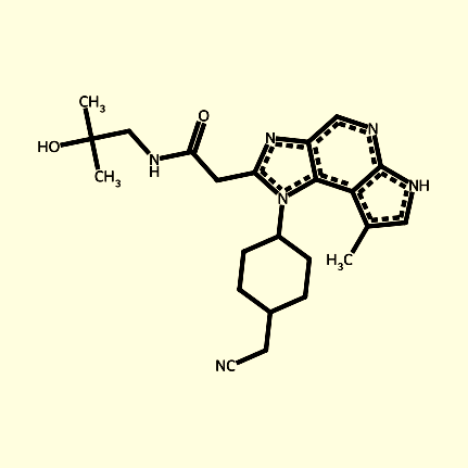 Cc1c[nH]c2ncc3nc(CC(=O)NCC(C)(C)O)n(C4CCC(CC#N)CC4)c3c12